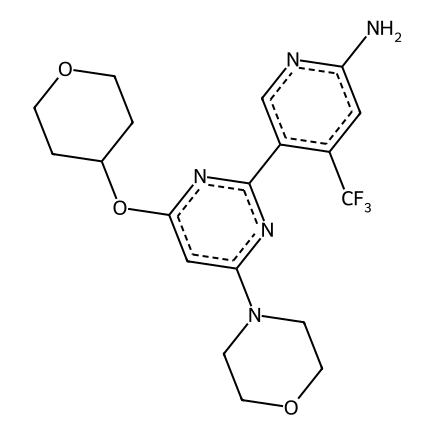 Nc1cc(C(F)(F)F)c(-c2nc(OC3CCOCC3)cc(N3CCOCC3)n2)cn1